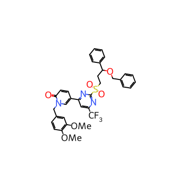 COc1ccc(Cn2cc(-c3cc(C(F)(F)F)nc(S(=O)(=O)CCC(OCc4ccccc4)c4ccccc4)n3)ccc2=O)cc1OC